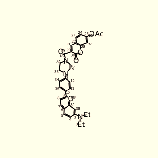 CCN(CC)c1ccc2ccc(-c3ccc(N4CCN(C(=O)c5cc6ccc(OC(C)=O)cc6oc5=O)CC4)cc3)[o+]c2c1